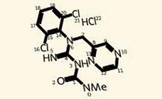 CNC(=O)NC(=N)N(Cc1cnccn1)c1c(Cl)cccc1Cl.Cl